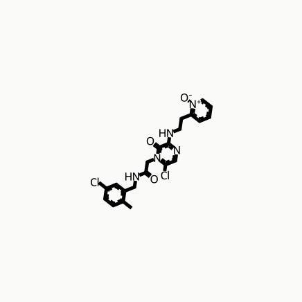 Cc1ccc(Cl)cc1CNC(=O)Cn1c(Cl)cnc(NCCc2cccc[n+]2[O-])c1=O